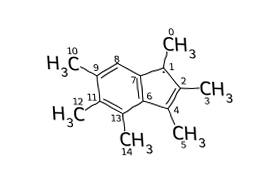 C[C]1C(C)=C(C)c2c1cc(C)c(C)c2C